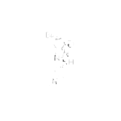 CCc1cc(Br)cc2cnc(NC3CCC(N(C)C)CC3)nc12